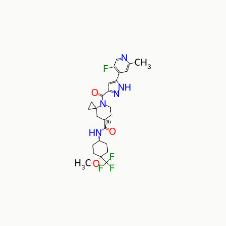 CO[C@]1(C(F)(F)F)CC[C@@H](NC(=O)[C@@H]2CCN(C(=O)c3cc(-c4cc(C)ncc4F)[nH]n3)C3(CC3)C2)CC1